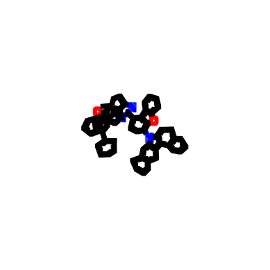 CC1C/C=C(c2ccc3c(c2)oc2ccccc23)/N=C(c2ccc(-n3c4cc5ccccc5cc4c4c5ccccc5ccc43)c3oc4ccccc4c23)\N=C/1c1cccc(-c2ccccc2)c1